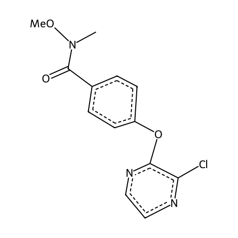 CON(C)C(=O)c1ccc(Oc2nccnc2Cl)cc1